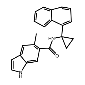 Cc1cc2cc[nH]c2cc1C(=O)NC1(c2cccc3ccccc23)CC1